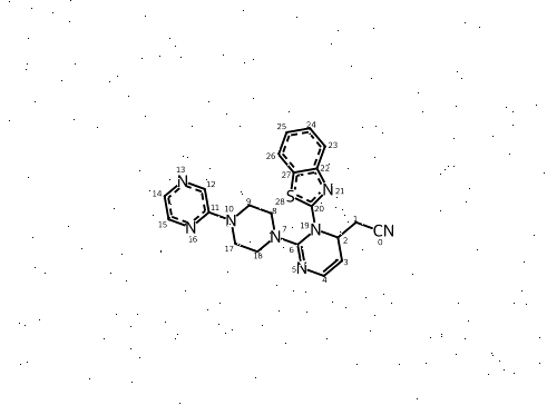 N#CCC1C=CN=C(N2CCN(c3cnccn3)CC2)N1c1nc2ccccc2s1